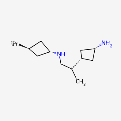 CC(C)[C@H]1C[C@H](NCC(C)[C@H]2C[C@@H](N)C2)C1